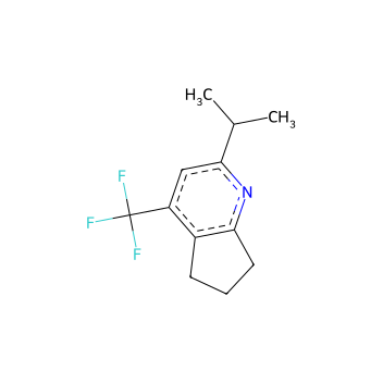 CC(C)c1cc(C(F)(F)F)c2c(n1)CCC2